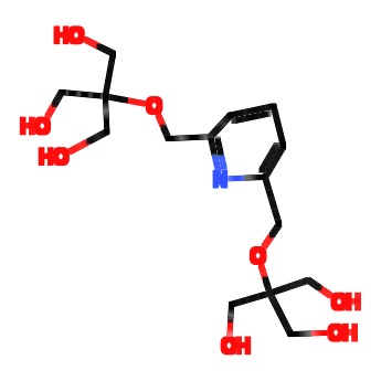 OCC(CO)(CO)OCc1cccc(COC(CO)(CO)CO)n1